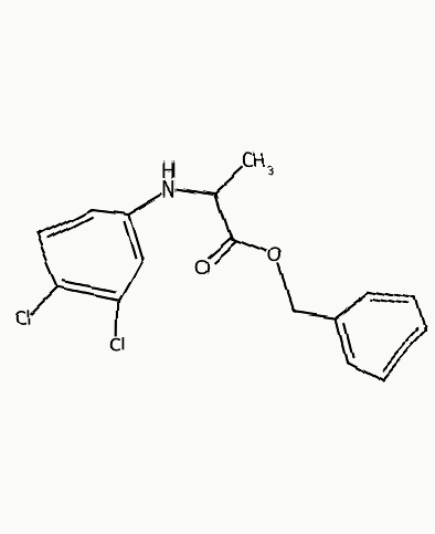 CC(Nc1ccc(Cl)c(Cl)c1)C(=O)OCc1ccccc1